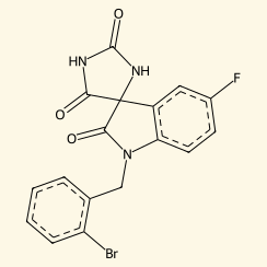 O=C1NC(=O)C2(N1)C(=O)N(Cc1ccccc1Br)c1ccc(F)cc12